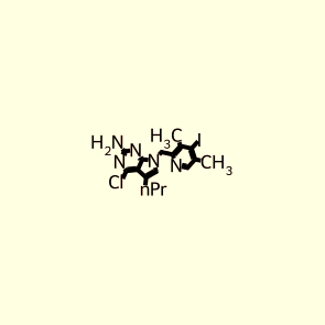 CCCc1cn(Cc2ncc(C)c(I)c2C)c2nc(N)nc(Cl)c12